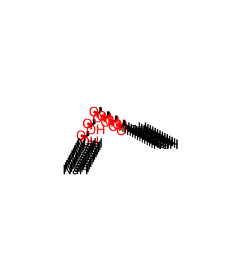 C=CC(=O)O.C=CC(=O)O.C=CC(=O)O.C=CC(=O)O.C=CC(=O)O.C=CC(=O)O.[NaH].[NaH].[NaH].[NaH].[NaH].[NaH].[NaH].[NaH].[NaH].[NaH].[NaH].[NaH].[NaH].[NaH].[NaH].[NaH].[NaH].[NaH].[NaH].[NaH].[NaH].[NaH].[NaH].[NaH].[NaH].[NaH]